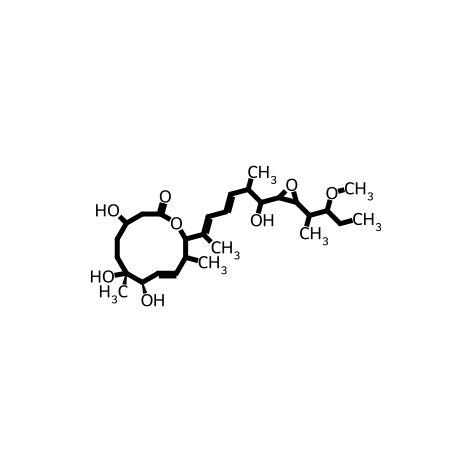 CCC(OC)C(C)C1OC1C(O)C(C)/C=C/C=C(\C)C1OC(=O)CC(O)CC[C@@](C)(O)[C@H](O)/C=C/C1C